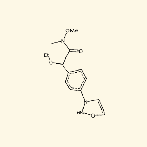 CCOC(C(=O)N(C)OC)c1ccc(N2C=CON2)cc1